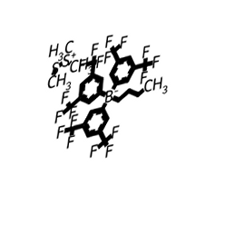 CCCC[B-](c1cc(C(F)(F)F)cc(C(F)(F)F)c1)(c1cc(C(F)(F)F)cc(C(F)(F)F)c1)c1cc(C(F)(F)F)cc(C(F)(F)F)c1.CS[S+](C)C